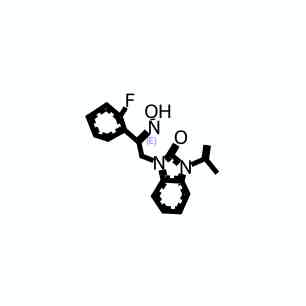 C=C(C)n1c(=O)n(C/C(=N/O)c2ccccc2F)c2ccccc21